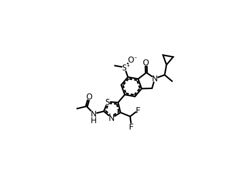 CC(=O)Nc1nc(C(F)F)c(-c2cc3c(c([S+](C)[O-])c2)C(=O)N(C(C)C2CC2)C3)s1